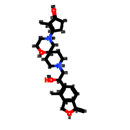 C=C1OCc2c1ccc([C@@H](O)CN1CCC3(CC1)CN(C1=C(C)C(=O)CC1)CCO3)c2C